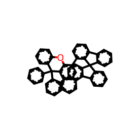 c1ccc(C2(c3ccccc3)c3ccccc3Oc3c(-c4cccc5c4C4(c6ccccc6-5)c5ccccc5-c5c4ccc4ccccc54)cccc32)cc1